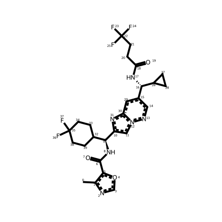 Cc1ncoc1C(=O)N[C@H](c1cn2ncc([C@H](NC(=O)CCC(F)(F)F)C3CC3)cc2n1)C1CCC(F)(F)CC1